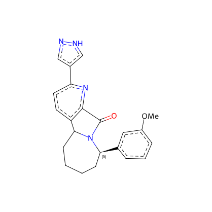 COc1cccc([C@H]2CCCCC3c4ccc(-c5cn[nH]c5)nc4C(=O)N32)c1